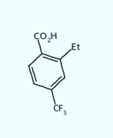 CCc1cc(C(F)(F)F)ccc1C(=O)O